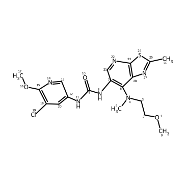 COCCN(C)c1c(NC(=O)Nc2cnc(OC)c(Cl)c2)cnc2sc(C)nc12